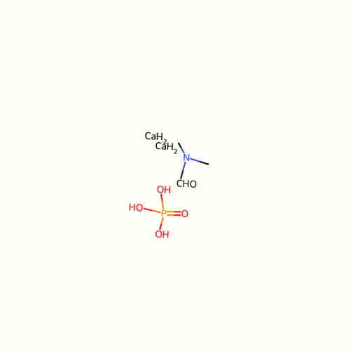 CN(C)C=O.O=P(O)(O)O.[CaH2].[CaH2]